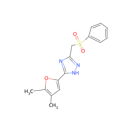 Cc1cc(-c2nc(CS(=O)(=O)c3ccccc3)n[nH]2)oc1C